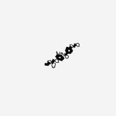 CCOC(=O)COc1ccc(NC(=O)c2ccc(OCCOC)cc2)cc1